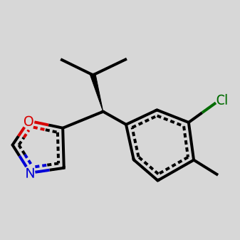 Cc1ccc([C@@H](c2cnco2)C(C)C)cc1Cl